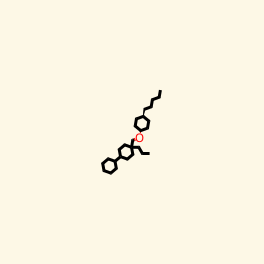 CCCCC[C@H]1CC[C@H](OCC2(CCC)CCC(C3CCCCC3)CC2)CC1